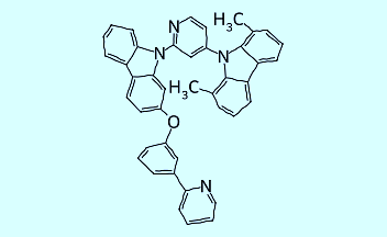 Cc1cccc2c3cccc(C)c3n(-c3ccnc(-n4c5ccccc5c5ccc(Oc6cccc(-c7ccccn7)c6)cc54)c3)c12